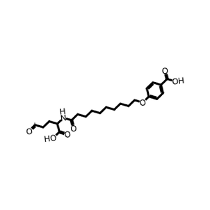 O=[C]CCC(NC(=O)CCCCCCCCCOc1ccc(C(=O)O)cc1)C(=O)O